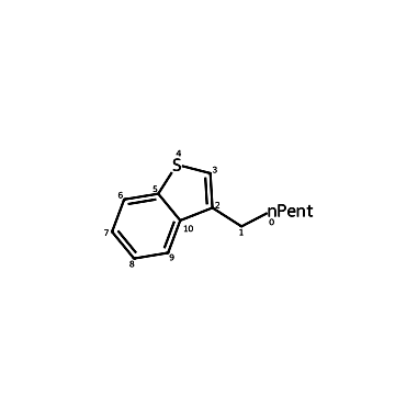 [CH2]CCCCCc1csc2ccccc12